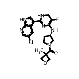 CC1(C(=O)N2CC[C@@H](NC3=C(F)CNC(c4c[nH]c5ncc(Cl)cc45)=N3)C2)COC1